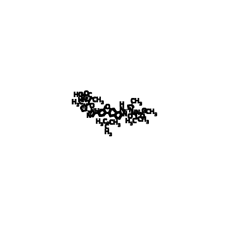 COC(=O)N[C@H](C(=O)N1C[C@@H](C)C[C@H]1c1nc2ccc3cc4c(cc3c2[nH]1)OCc1cc(-c2cnc([C@@H]3CC[C@H](C)N3C(=O)[C@@H](NC(=O)O)C(C)C)[nH]2)ccc1-4)C(C)C.C[C](C)C